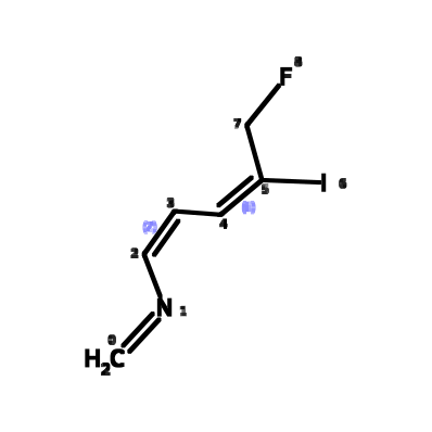 C=N/C=C\C=C(\I)CF